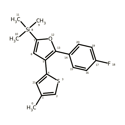 Cc1csc(-c2cc([Si](C)(C)C)oc2-c2ccc(F)cc2)c1